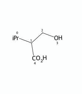 CC(C)C(CO)C(=O)O